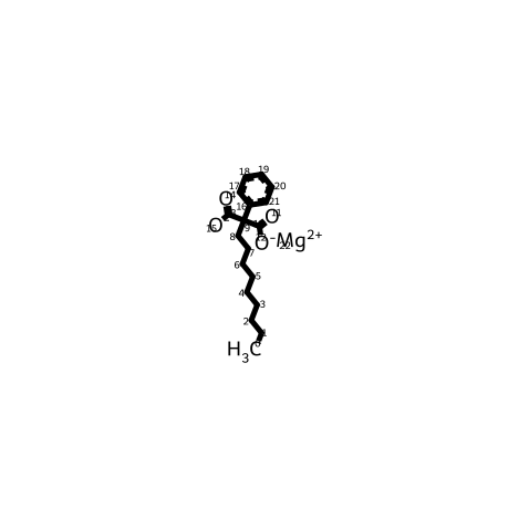 CCCCCCCCCC(C(=O)[O-])(C(=O)[O-])c1ccccc1.[Mg+2]